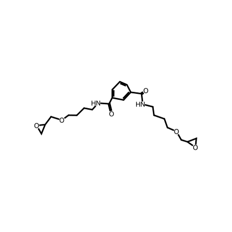 O=C(NCCCCOCC1CO1)c1cccc(C(=O)NCCCCOCC2CO2)c1